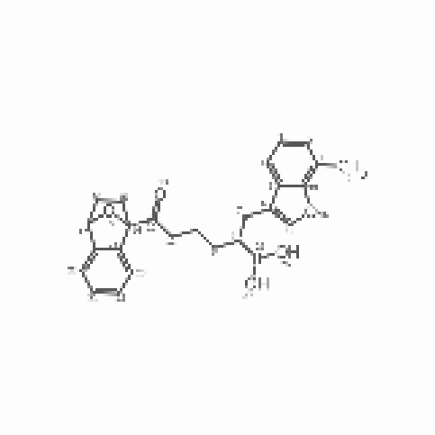 Cc1cccc2c(C[C@H](CCCC(=O)[C@]34CCC(O3)c3ccccc34)B(O)O)coc12